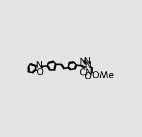 COC(=O)Cn1nnc(-c2ccc(/C=C/c3ccc(-c4nc5ccccc5o4)cc3)cc2)c1C#N